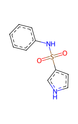 O=S(=O)(Nc1ccccc1)c1cc[nH]c1